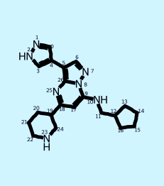 c1n[nH]cc1-c1cnn2c(NCC3CCCC3)cc(C3CCCNC3)nc12